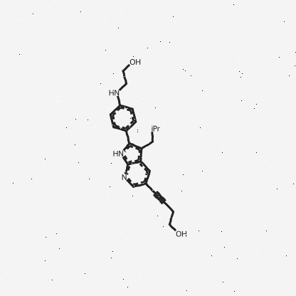 CC(C)Cc1c(-c2ccc(NCCO)cc2)[nH]c2ncc(C#CCCO)cc12